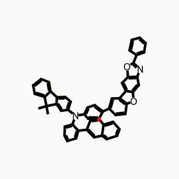 CC1(C)c2ccccc2-c2ccc(N(c3ccc(-c4ccc5oc6cc7nc(-c8ccccc8)oc7cc6c5c4)cc3)c3ccccc3-c3ccc4ccccc4c3)cc21